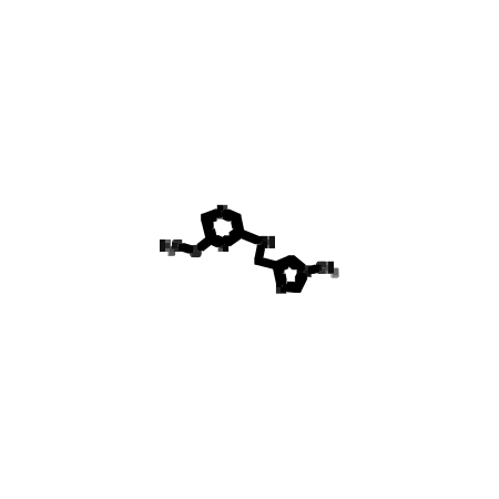 COc1cncc(NCc2cn(C)cn2)n1